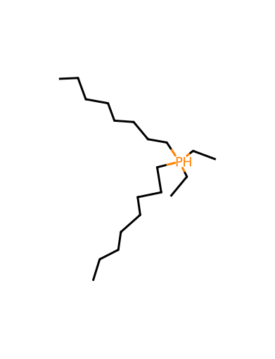 CCCCCCCC[PH](CC)(CC)CCCCCCCC